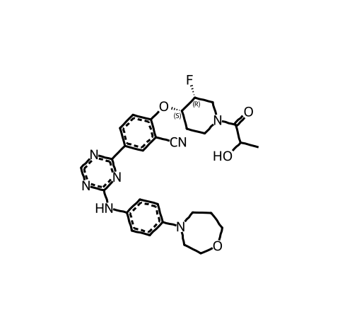 CC(O)C(=O)N1CC[C@H](Oc2ccc(-c3ncnc(Nc4ccc(N5CCCOCC5)cc4)n3)cc2C#N)[C@H](F)C1